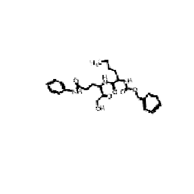 CCCCC(NC(=O)OCc1ccccc1)C(=O)NC(CCC(=O)Nc1ccccc1)C(=O)CO